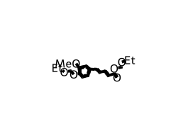 CCOCOC(=O)C=CC=Cc1ccc(OCOCC)c(OC)c1